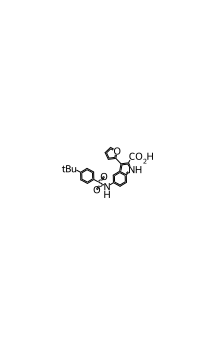 CC(C)(C)c1ccc(S(=O)(=O)Nc2ccc3[nH]c(C(=O)O)c(-c4ccco4)c3c2)cc1